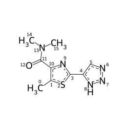 Cc1sc(-c2cnn[nH]2)nc1C(=O)N(C)C